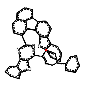 C1=CC(c2ccccc2)CC=C1c1nc(-c2ccc3cccc4c3c2-c2c-4ccc3c2oc2ccccc23)nc2c1oc1ccccc12